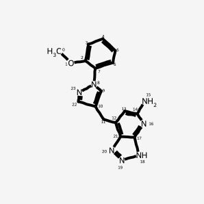 COc1ccccc1-n1cc(Cc2cc(N)nc3[nH]nnc23)cn1